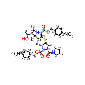 CC(O)[C@H]1C(=O)N2C(C(=O)OCc3ccc([N+](=O)[O-])cc3)=C(S[C@H]3C[C@@H](C(=O)N4CCCC4)N(C(=O)OCc4ccc([N+](=O)[O-])cc4)C3)[C@H](C)[C@H]12